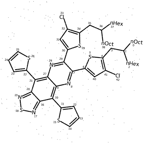 CCCCCCCCC(CCCCCC)Cc1sc(-c2nc3c(-c4cccs4)c4nsnc4c(-c4cccs4)c3nc2-c2cc(Cl)c(CC(CCCCCC)CCCCCCCC)s2)cc1Cl